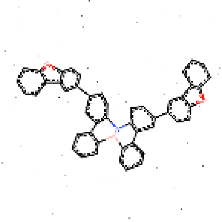 c1ccc2c(c1)B1c3ccccc3-c3cc(-c4ccc5oc6ccccc6c5c4)ccc3N1c1ccc(-c3ccc4oc5ccccc5c4c3)cc1-2